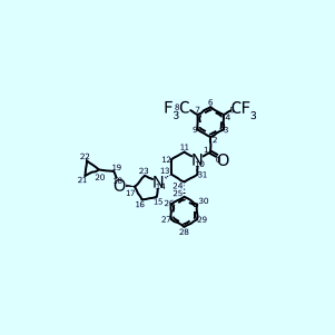 O=C(c1cc(C(F)(F)F)cc(C(F)(F)F)c1)N1CC[C@@H](N2CC[C@@H](OCC3CC3)C2)[C@@H](c2ccccc2)C1